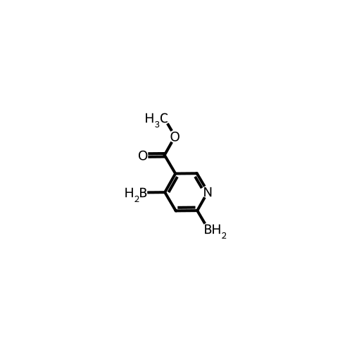 Bc1cc(B)c(C(=O)OC)cn1